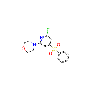 O=S(=O)(c1ccccc1)c1cc(Cl)nc(N2CCOCC2)c1